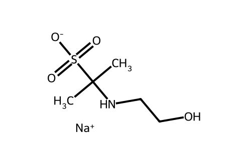 CC(C)(NCCO)S(=O)(=O)[O-].[Na+]